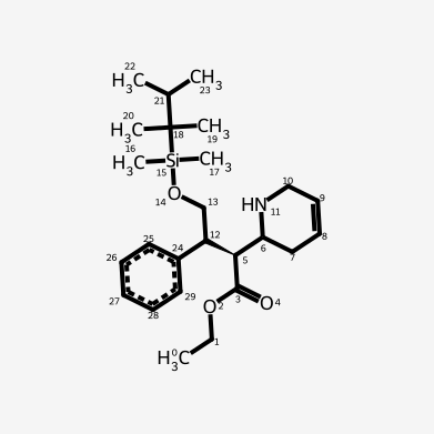 CCOC(=O)[C@H](C1CC=CCN1)C(CO[Si](C)(C)C(C)(C)C(C)C)c1ccccc1